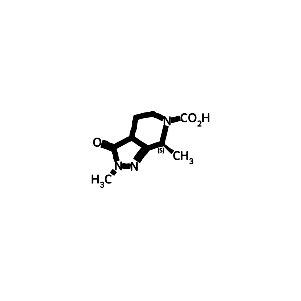 C[C@H]1C2=NN(C)C(=O)C2CCN1C(=O)O